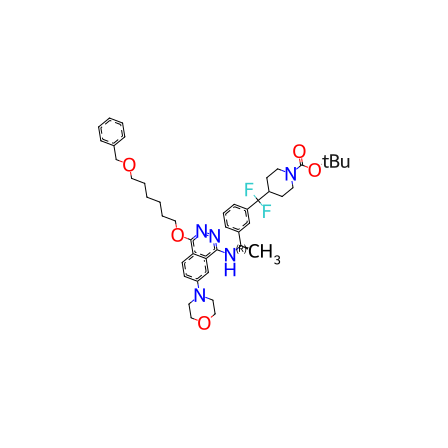 C[C@@H](Nc1nnc(OCCCCCCOCc2ccccc2)c2ccc(N3CCOCC3)cc12)c1cccc(C(F)(F)C2CCN(C(=O)OC(C)(C)C)CC2)c1